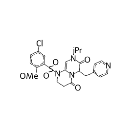 COc1ccc(Cl)cc1S(=O)(=O)N1CCC(=O)N2C1=CN(C(C)C)C(=O)C2Cc1ccncc1